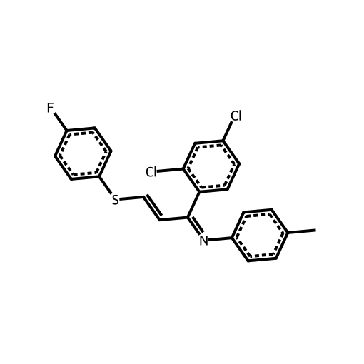 Cc1ccc(/N=C(/C=C/Sc2ccc(F)cc2)c2ccc(Cl)cc2Cl)cc1